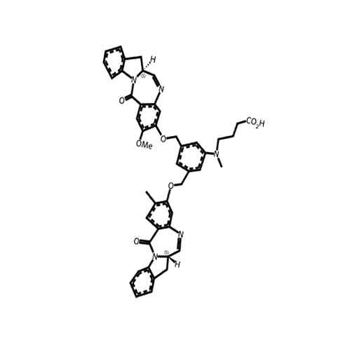 COc1cc2c(cc1OCc1cc(COc3cc4c(cc3C)C(=O)N3c5ccccc5C[C@H]3C=N4)cc(N(C)CCCC(=O)O)c1)N=C[C@@H]1Cc3ccccc3N1C2=O